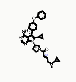 CN(C/C=C/C(=O)N1CC[C@@H](n2c(C3CC3)c(-c3ccc(Oc4ccccc4)cc3)c3c(N)ncnc32)C1)C1CC1